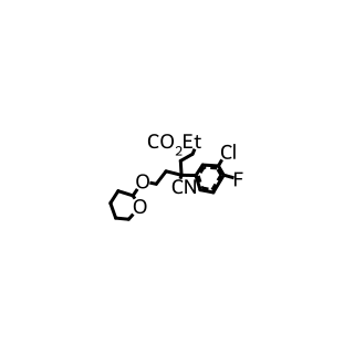 CCOC(=O)CCC(C#N)(CCOC1CCCCO1)c1ccc(F)c(Cl)c1